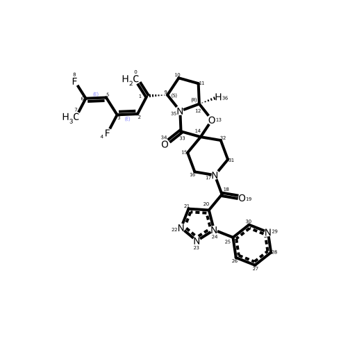 C=C(/C=C(F)\C=C(/C)F)[C@@H]1CC[C@H]2OC3(CCN(C(=O)c4cnnn4-c4cccnc4)CC3)C(=O)N21